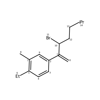 C=C(c1ccc(CC)c(C)c1)C(Br)CCC(C)C